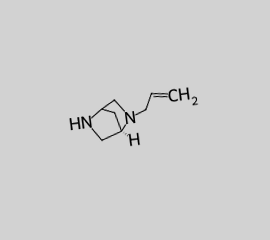 C=CCN1CC2C[C@@H]1CN2